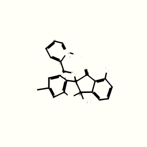 CC(C)c1ccc2c(c1)OC1(O)c3cccc([N+](=O)[O-])c3C(=O)C21NC(=O)c1cccc[n+]1[O-]